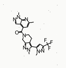 Cc1cc(C(=O)N2CCc3c(nn(C)c3-c3cc(C(F)(F)F)nn3C)C2)c2cnn(C)c2n1